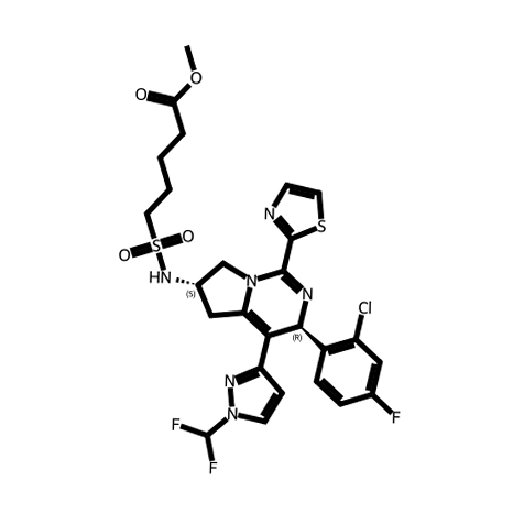 COC(=O)CCCCS(=O)(=O)N[C@H]1CC2=C(c3ccn(C(F)F)n3)[C@H](c3ccc(F)cc3Cl)N=C(c3nccs3)N2C1